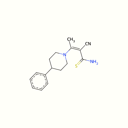 C/C(=C(\C#N)C(N)=S)N1CCC(c2ccccc2)CC1